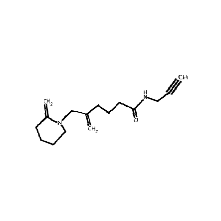 C#CCNC(=O)CCCC(=C)CN1CCCCC1=C